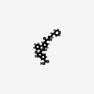 O=C1Nc2cc(C(=O)O)ccc2C1=C(Nc1ccc(C(=O)NOCCN2CCOCC2)cc1)c1ccccc1